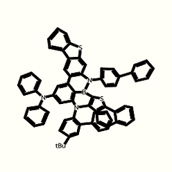 CC(C)(C)c1ccc(N2c3cc(N(c4ccccc4)c4ccccc4)cc4c3B(c3sc5c(ccc6ccccc65)c32)N(c2ccc(-c3ccccc3)cc2)c2cc3sc5ccccc5c3cc2-4)c(-c2ccccc2)c1